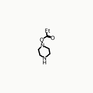 CCC(=O)ON1CCNCC1